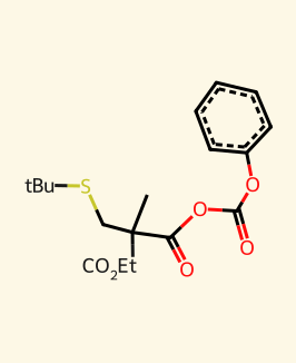 CCOC(=O)C(C)(CSC(C)(C)C)C(=O)OC(=O)Oc1ccccc1